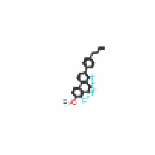 C=CCCc1ccc(-c2ccc3c(c2F)C(F)(F)C(F)(F)c2c-3ccc(OCC)c2F)cc1